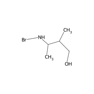 CC(CO)C(C)NBr